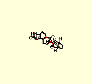 CNC1CCN(S(=O)(=O)N2[C@@H]3CC[C@H]2CC(NC(=O)c2ccc4c(c2)CC(=O)N4)C3)CC1